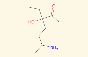 CCC(O)(CCC(C)N)C(C)=O